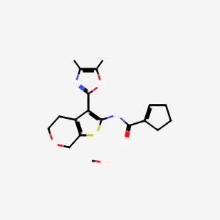 Cc1nc(-c2c(NC(=O)C3=CCCC3)sc3c2CCOC3)oc1C.O=C(O)O